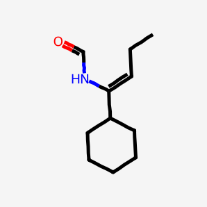 CCC=C(NC=O)C1CCCCC1